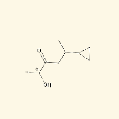 CC(CC(=O)[C@@H](C)O)C1CC1